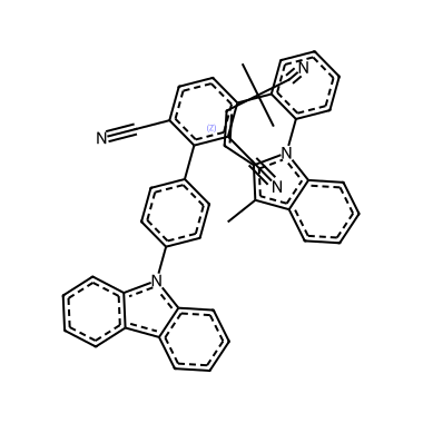 Cc1c(/C=C\C(C)(C)C#N)n(-c2ccccc2-c2ccc(C#N)c(-c3ccc(-n4c5ccccc5c5ccccc54)cc3)c2C#N)c2ccccc12